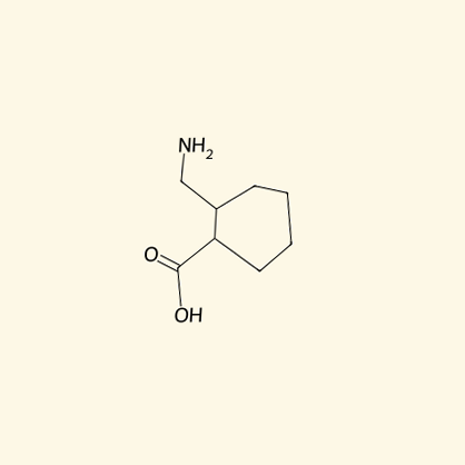 NCC1CCCCC1C(=O)O